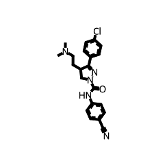 CN(C)CCC1CN(C(=O)Nc2ccc(C#N)cc2)N=C1c1ccc(Cl)cc1